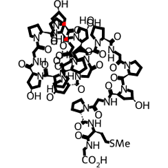 CSCC[C@H](NC(=O)[C@@H]1CCCN1C(=O)CNC(=O)[C@@H]1C[C@@H](O)CN1C(=O)[C@@H]1CCCN1C(=O)CNC(=O)[C@@H]1C[C@@H](O)CN1C(=O)[C@@H]1CCCN1C(=O)CNC(=O)[C@@H]1C[C@@H](O)CN1C(=O)[C@@H]1CCCN1C(=O)CNC(=O)[C@@H]1C[C@@H](O)CN1C(=O)[C@@H]1CCCN1C(=O)CNC(=O)[C@@H]1C[C@@H](O)CN1C(=O)[C@@H]1CCCN1C(=O)CNC(=O)[C@@H]1C[C@@H](O)CN1C(=O)[C@@H]1CCCN1)C(=O)NCC(=O)O